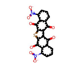 O=c1c2sc3c(=O)c4c([N+](=O)[O-])cccc4c(=O)c3c2c(=O)c2cccc([N+](=O)[O-])c12